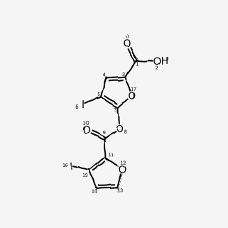 O=C(O)c1cc(I)c(OC(=O)c2occc2I)o1